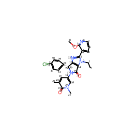 CCn1c(-c2cccnc2OC)nc2c1C(=O)N(c1cc(C)c(=O)n(C)c1)[C@@H]2c1ccc(Cl)cc1